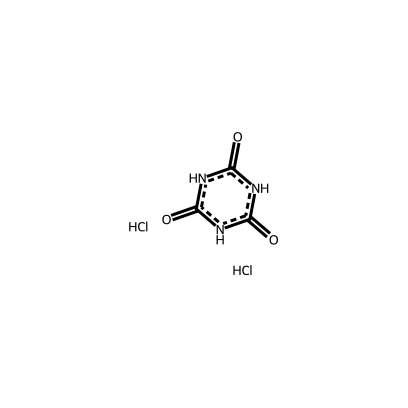 Cl.Cl.O=c1[nH]c(=O)[nH]c(=O)[nH]1